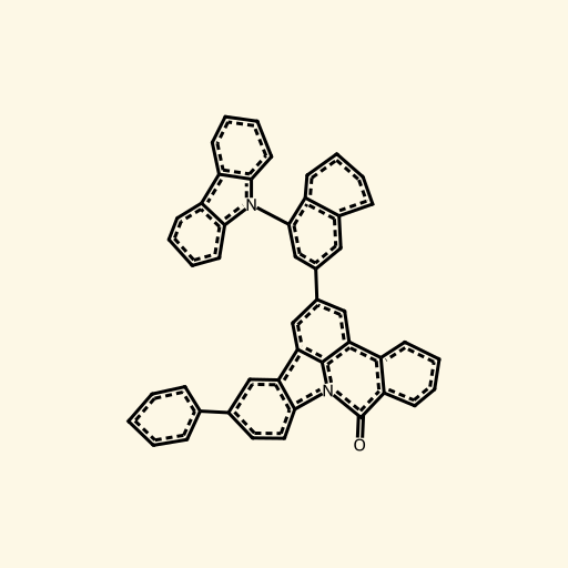 O=c1c2ccccc2c2cc(-c3cc(-n4c5ccccc5c5ccccc54)c4ccccc4c3)cc3c4cc(-c5ccccc5)ccc4n1c23